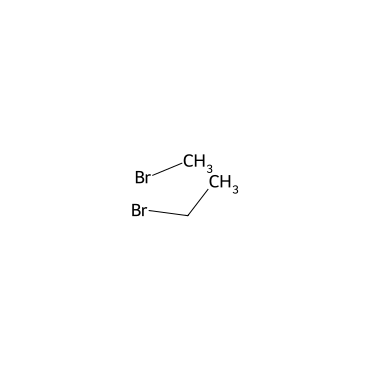 CBr.CCBr